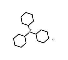 C1CCC([BH-](C2CCCCC2)C2CCCCC2)CC1.[K+]